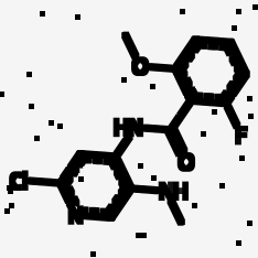 CNc1cnc(Cl)cc1NC(=O)c1c(F)cccc1OC